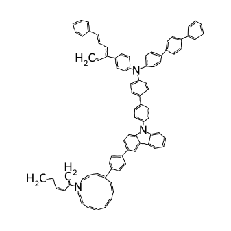 C=C/C=C\C(=C)n1ccccccccc(-c2ccc(-c3ccc4c(c3)c3ccccc3n4-c3ccc(-c4ccc(N(c5ccc(/C(C=C)=C/C=C/c6ccccc6)cc5)c5ccc(-c6ccc(-c7ccccc7)cc6)cc5)cc4)cc3)cc2)ccc1